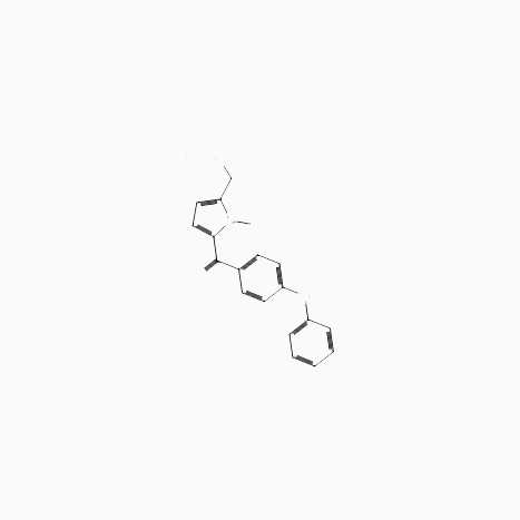 Cn1c(CC(=O)O)ccc1C(=O)c1ccc(Oc2ccccc2)cc1